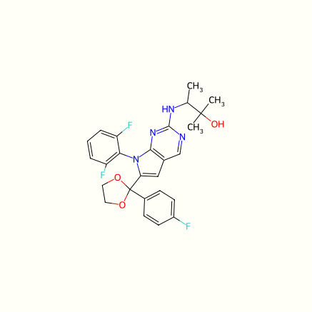 CC(Nc1ncc2cc(C3(c4ccc(F)cc4)OCCO3)n(-c3c(F)cccc3F)c2n1)C(C)(C)O